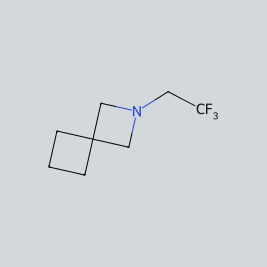 FC(F)(F)CN1CC2(CCC2)C1